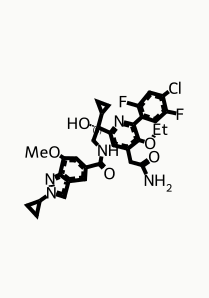 CCOc1c(CC(N)=O)cc([C@@](O)(CNC(=O)c2cc(OC)c3nn(C4CC4)cc3c2)C2CC2)nc1-c1cc(F)c(Cl)cc1F